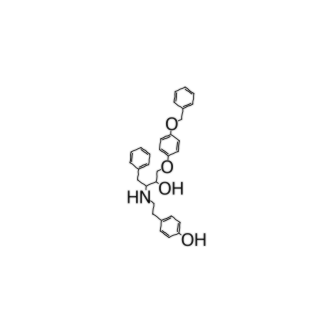 Oc1ccc(CCNC(Cc2ccccc2)C(O)COc2ccc(OCc3ccccc3)cc2)cc1